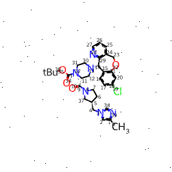 Cc1cn(C[C@@H]2CCN(C(=O)[C@H]3CN([C@H]4c5ccc(Cl)cc5OCc5cccnc54)CCN3C(=O)OC(C)(C)C)C2)cn1